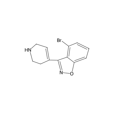 Brc1cccc2onc(C3=CCNCC3)c12